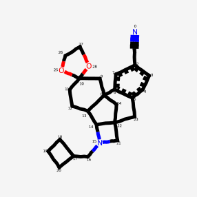 N#Cc1ccc2c(c1)C13CC4(CCC1C1N(CC5CCC5)CC1(C2)C3)OCCO4